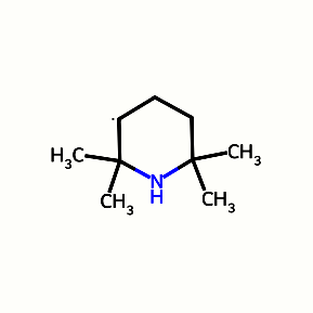 CC1(C)[CH]CCC(C)(C)N1